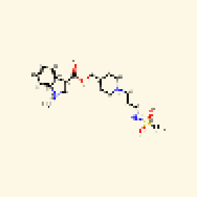 Cn1cc(C(=O)OCC2CCN(CCCNS(C)(=O)=O)CC2)c2ccccc21